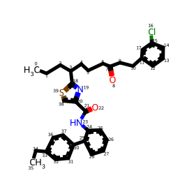 CCCC(CCCC(=O)CCc1cccc(Cl)c1)c1nc(C(=O)Nc2ccccc2-c2ccc(CC)cc2)cs1